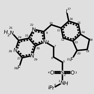 CC(C)NS(=O)(=O)CCCn1c(Cc2cc3c(cc2I)CCC3F)nc2c(N)nc(F)nc21